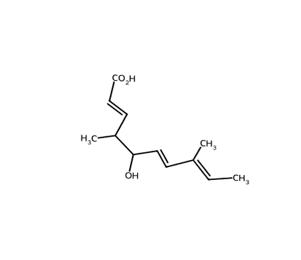 C/C=C(C)/C=C/C(O)C(C)/C=C/C(=O)O